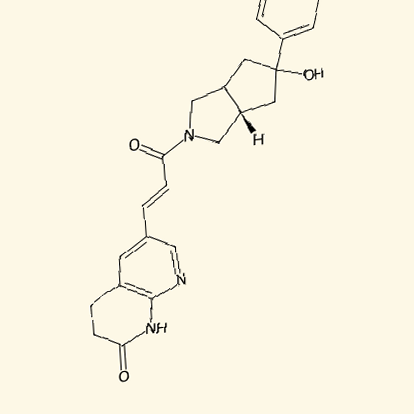 O=C1CCc2cc(/C=C/C(=O)N3CC4CC(O)(c5ccccc5)C[C@@H]4C3)cnc2N1